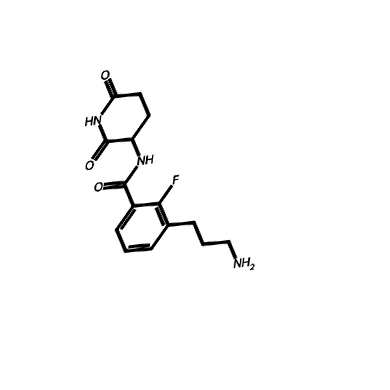 NCCCc1cccc(C(=O)NC2CCC(=O)NC2=O)c1F